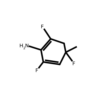 CC1(F)C=C(F)C(N)=C(F)C1